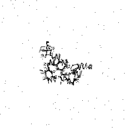 COc1ncnn2ccc(-c3cnc4nc(C5CC(F)(F)C5)n(Cc5ccnc(F)c5)c4c3)c12